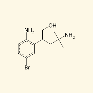 CC(C)(N)CC(CO)c1cc(Br)ccc1N